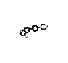 Brc1ccnc2ccc(-c3ccc(N4CCOCC4)cc3)cc12